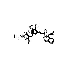 CCc1nc(N)nc(N)c1Cc1cc(/C=C/C(=O)N2N=Cc3ccccc3C2C=C(C)C)c(OC)c(OC)c1